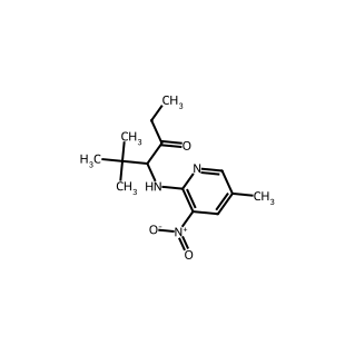 CCC(=O)C(Nc1ncc(C)cc1[N+](=O)[O-])C(C)(C)C